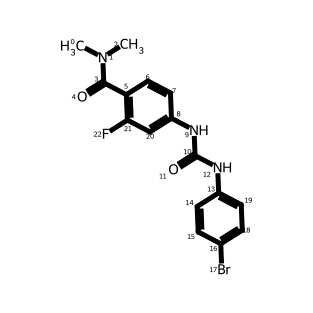 CN(C)C(=O)c1ccc(NC(=O)Nc2ccc(Br)cc2)cc1F